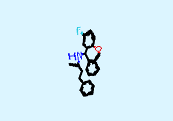 CC(CCc1ccccc1)NC1c2ccccc2COc2ccc(F)cc21